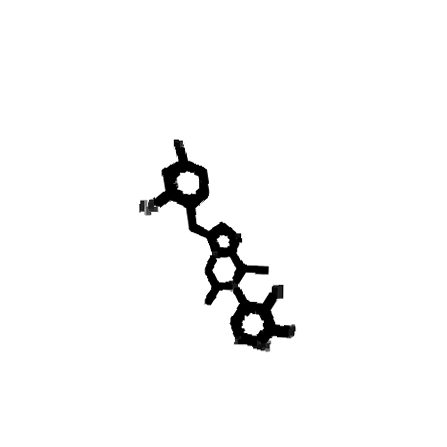 CC1Cn2c(Cc3ccc(F)cc3C(F)(F)F)cnc2C(C)N1c1cn[nH]c(=O)c1Cl